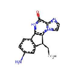 Nc1ccc2c(c1)C(CC(=O)O)c1c-2[nH]c(=O)c2nccn12